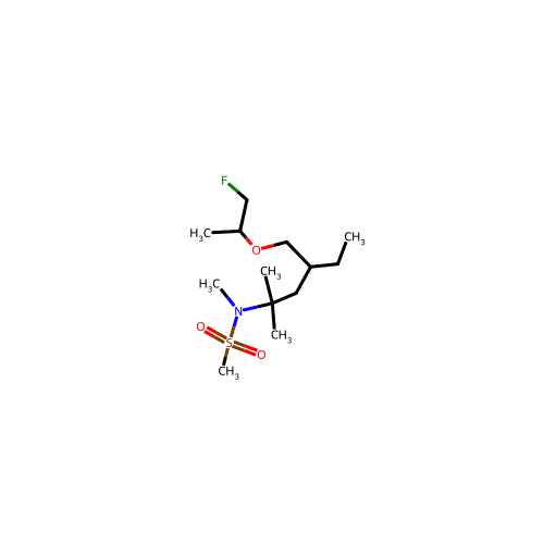 CCC(COC(C)CF)CC(C)(C)N(C)S(C)(=O)=O